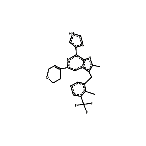 Cc1nc2c(-c3c[nH]cn3)nc(C3=CCOCC3)cn2c1Cc1cccc(C(F)(F)F)c1C